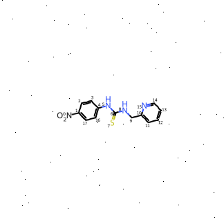 O=[N+]([O-])c1ccc(NC(=S)NCc2ccccn2)cc1